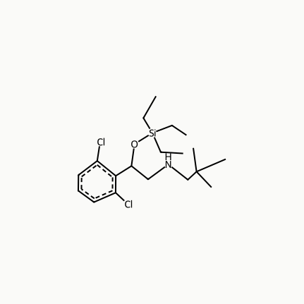 CC[Si](CC)(CC)OC(CNCC(C)(C)C)c1c(Cl)cccc1Cl